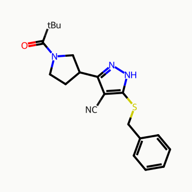 CC(C)(C)C(=O)N1CCC(c2n[nH]c(SCc3ccccc3)c2C#N)C1